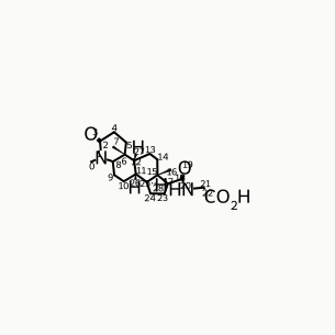 CN1C(=O)CC[C@@]2(C)C1CC[C@@H]1[C@H]2CC[C@]2(C)C(C(=O)NCC(=O)O)CC[C@@H]12